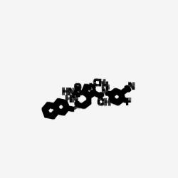 Cn1cc2c(c1C(O)Nc1ccc(F)c(C#N)c1)C=C[C@H](Cc1ccc3ccccc3c1)NS2(=N)=O